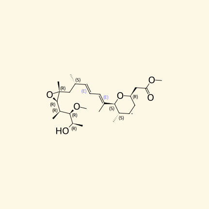 COC(=O)C[C@H]1C[CH][C@H](C)[C@@H](/C(C)=C/C=C/[C@@H](C)C[C@@]2(C)O[C@@H]2[C@H](C)[C@@H](OC)[C@@H](C)O)O1